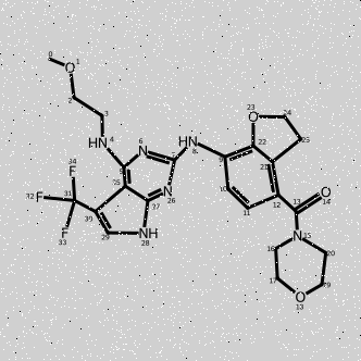 COCCNc1nc(Nc2ccc(C(=O)N3CCOCC3)c3c2OCC3)nc2[nH]cc(C(F)(F)F)c12